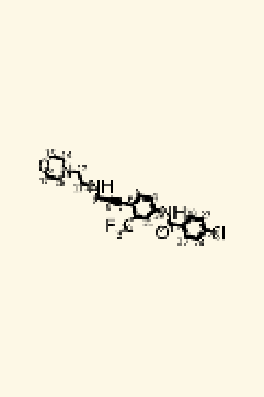 O=C(Nc1ccc(C#CCNCCN2CCOCC2)c(C(F)(F)F)c1)c1ccc(Cl)cc1